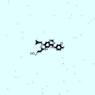 O=C(O)/C=C/C(=O)Nc1cc2c(Nc3ccc(F)c(Cl)c3)ncnc2cc1OCC1CC1